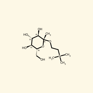 C[C@@]1(OCC[Si](C)(C)C)O[C@H](CO)[C@@H](O)[C@H](O)[C@H]1O